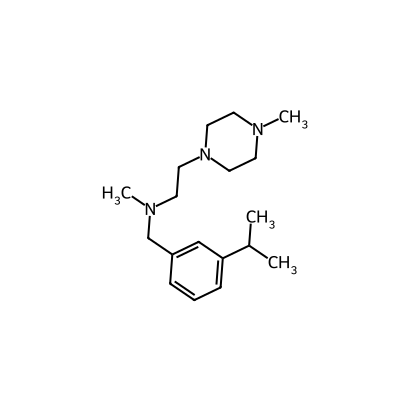 CC(C)c1cccc(CN(C)CCN2CCN(C)CC2)c1